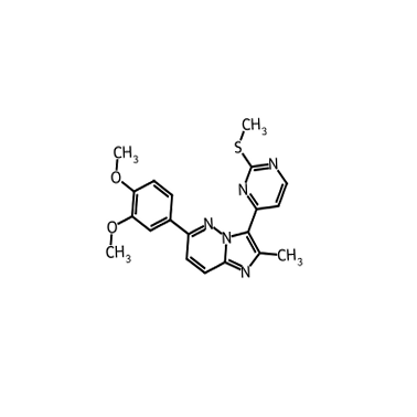 COc1ccc(-c2ccc3nc(C)c(-c4ccnc(SC)n4)n3n2)cc1OC